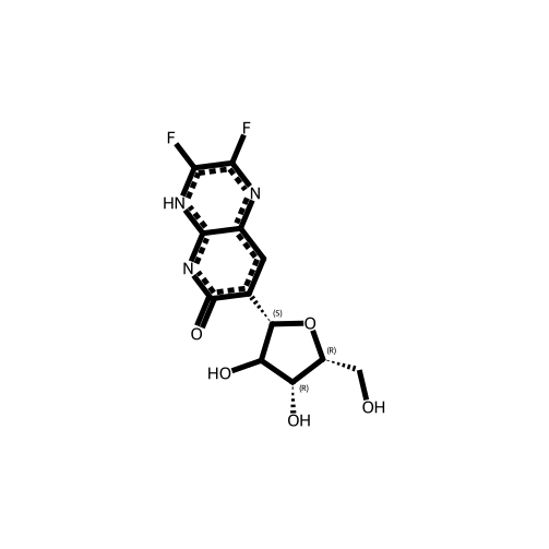 O=c1nc2[nH]c(F)c(F)nc-2cc1[C@@H]1O[C@H](CO)[C@H](O)C1O